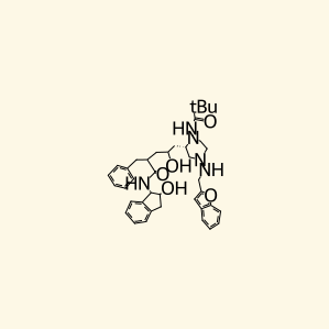 CC(C)(C)C(=O)NN1CCN(NCc2cc3ccccc3o2)C[C@@H]1CC(O)CC(Cc1ccccc1)C(=O)N[C@H]1c2ccccc2C[C@H]1O